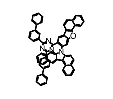 c1ccc(-c2ccc(-c3nc(-c4cccc(-c5ccccc5)c4)nc(-c4cc5c(cc4-n4c6cc7ccccc7cc6c6c7ccccc7ccc64)oc4c6ccccc6ccc54)n3)cc2)cc1